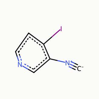 [C-]#[N+]c1cnccc1I